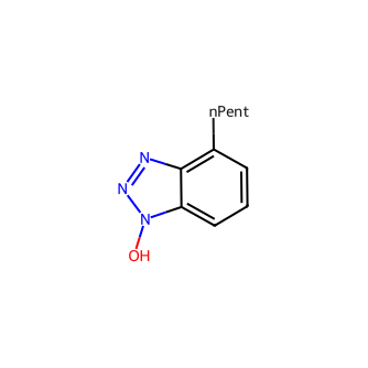 CCCCCc1cccc2c1nnn2O